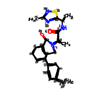 C=C(NC(=O)C(=C)N1Cc2c(cccc2-c2ccc(NC(C)=O)cc2)C1=O)c1nc(C)ns1